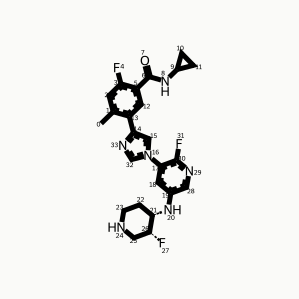 Cc1cc(F)c(C(=O)NC2CC2)cc1-c1cn(-c2cc(N[C@H]3CCNC[C@H]3F)cnc2F)cn1